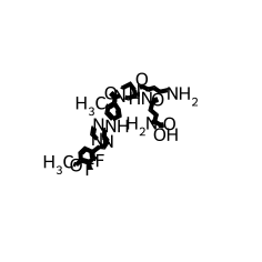 COc1ccc(-c2cnc3c(Nc4ccc(C(=O)N5CCN(C(=O)C(CCCN)NC(=O)CCC(N)C(=O)O)CC5)c(C)c4)nccn23)c(F)c1F